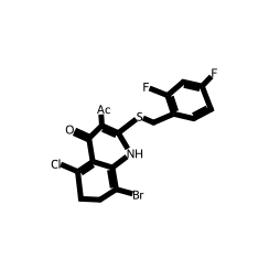 CC(=O)c1c(SCc2ccc(F)cc2F)[nH]c2c(c1=O)=C(Cl)CCC=2Br